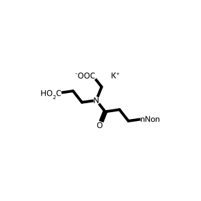 CCCCCCCCCCCC(=O)N(CCC(=O)O)CC(=O)[O-].[K+]